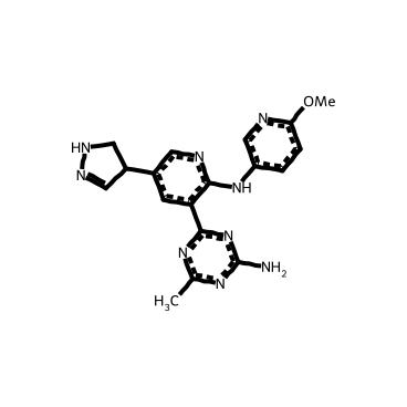 COc1ccc(Nc2ncc(C3C=NNC3)cc2-c2nc(C)nc(N)n2)cn1